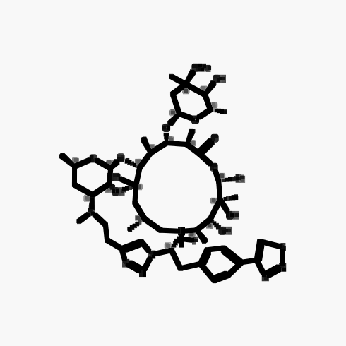 CC[C@H]1OC(=O)[C@H](C)[C@@H](O[C@H]2C[C@@](C)(OC)[C@@H](O)[C@H](C)O2)[C@H](C)[C@@H](O[C@@H]2O[C@H](C)C[C@H](N(C)CCc3cn([C@H](CF)Cc4ccc(-c5csnn5)cc4)nn3)[C@H]2O)[C@](C)(O)C[C@@H](C)CN(C)[C@H](C)[C@@H](O)[C@]1(C)O